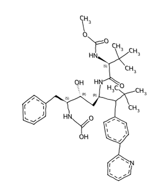 COC(=O)N[C@H](C(=O)N[C@H](C[C@@H](O)[C@H](Cc1ccccc1)NC(=O)O)C(c1ccc(-c2ccccn2)cc1)C(C)(C)C)C(C)(C)C